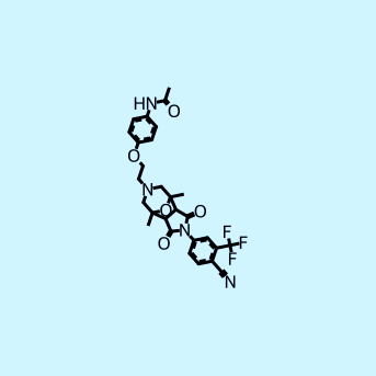 CC(=O)Nc1ccc(OCCN2CC3(C)OC(C)(C2)C2C(=O)N(c4ccc(C#N)c(C(F)(F)F)c4)C(=O)C23)cc1